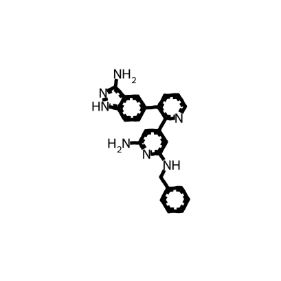 Nc1cc(-c2ncccc2-c2ccc3[nH]nc(N)c3c2)cc(NCc2ccccc2)n1